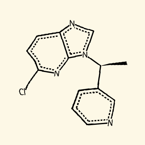 C[C@@H](c1cccnc1)n1cnc2ccc(Cl)nc21